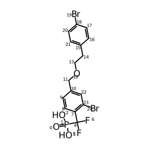 O=P(O)(O)C(F)(F)c1ccc(COCCc2ccc(Br)cc2)cc1Br